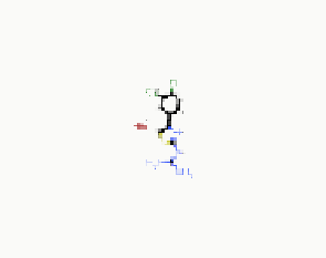 Br.NC(N)=Nc1nc(-c2ccc(Cl)c(Cl)c2)cs1